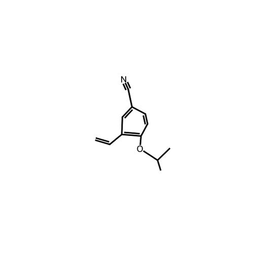 C=Cc1cc(C#N)ccc1OC(C)C